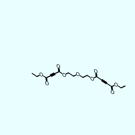 CCOC(=O)C#CC(=O)OCCOCCOC(=O)C#CC(=O)OCC